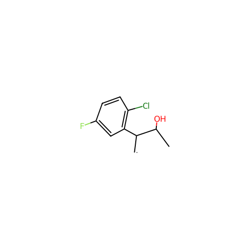 [CH2]C(c1cc(F)ccc1Cl)C(C)O